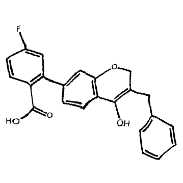 O=C(O)c1ccc(F)cc1-c1ccc2c(c1)OCC(Cc1ccccc1)=C2O